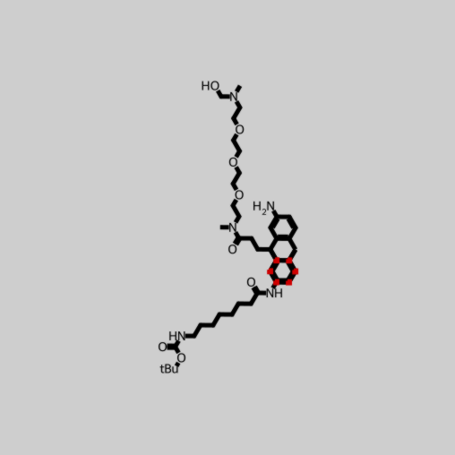 CN(CO)CCOCCOCCOCCN(C)C(=O)CCC12c3ccccc3C(c3ccc(N)cc31)C1C=CC(NC(=O)CCCCCCCNC(=O)OC(C)(C)C)=CC12